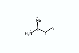 CC[CH](N)[Na]